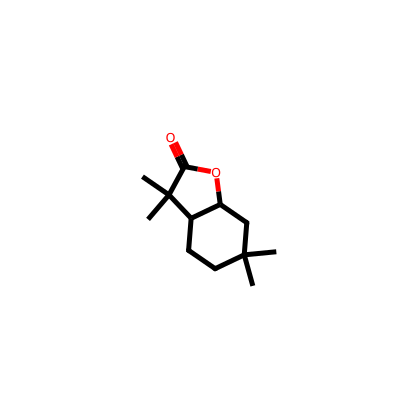 CC1(C)CCC2C(C1)OC(=O)C2(C)C